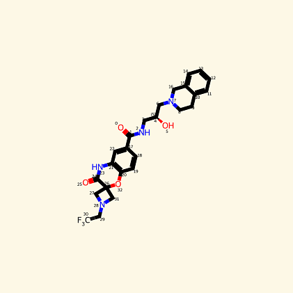 O=C(NC[C@H](O)CN1CCc2ccccc2C1)c1ccc2c(c1)NC(=O)C1(CN(CC(F)(F)F)C1)O2